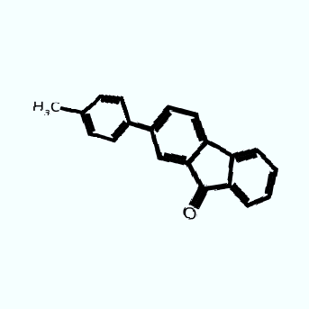 Cc1ccc(-c2ccc3c(c2)C(=O)c2ccccc2-3)cc1